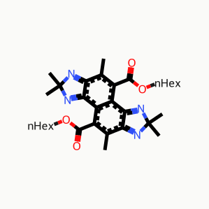 CCCCCCOC(=O)c1c(C)c2c(c3c(C(=O)OCCCCCC)c(C)c4c(c13)=NC(C)(C)N=4)=NC(C)(C)N=2